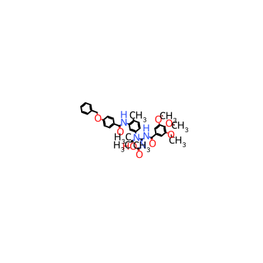 COc1cc(C(=O)NC(=NC(=O)O)N(c2ccc(C)c(NC(=O)c3ccc(OCc4ccccc4)cc3)c2)C(C)(C)C)cc(OC)c1OC